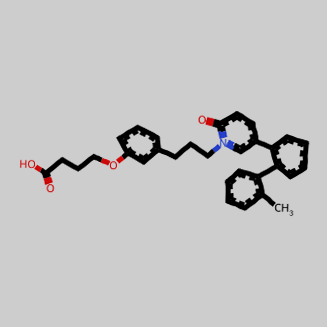 Cc1ccccc1-c1ccccc1-c1ccc(=O)n(CCCc2cccc(OCCCC(=O)O)c2)c1